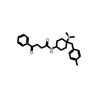 Cc1ccc(CC2(N(C)C)CCC(NC(=O)CCC(=O)c3ccccc3)CC2)cc1